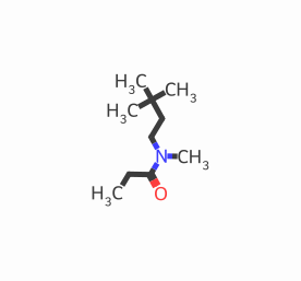 CCC(=O)N(C)CCC(C)(C)C